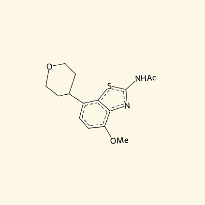 COc1ccc(C2CCOCC2)c2sc(NC(C)=O)nc12